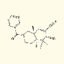 CC1(C)C(=O)C(C#N)=C[C@@]2(C)CN(C(=O)c3cncnc3)CC[C@H]12